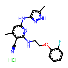 Cc1cc(Nc2cc(C)c(C#N)c(NCCOc3ccccc3F)n2)n[nH]1.Cl